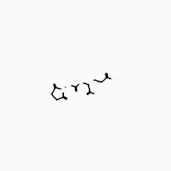 O=C(O)CC[C@H](NC(=O)ON1C(=O)CCC1=O)C(=O)O